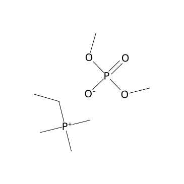 CC[P+](C)(C)C.COP(=O)([O-])OC